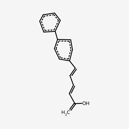 C=C(O)/C=C/C=C/c1ccc(-c2ccccc2)cc1